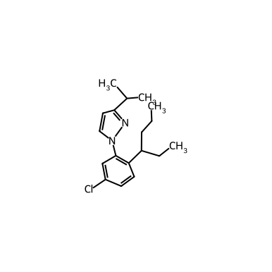 CCCC(CC)c1ccc(Cl)cc1-n1ccc(C(C)C)n1